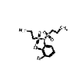 CCCS(=O)(=O)N(c1cccc(Br)c1Cl)S(=O)(=O)CCC